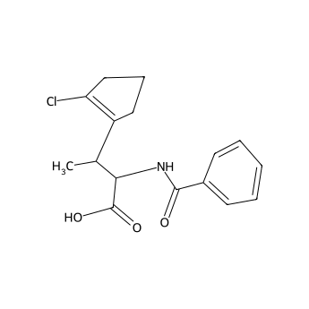 CC(C1=C(Cl)CCC1)C(NC(=O)c1ccccc1)C(=O)O